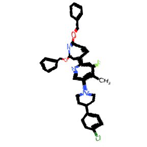 Cc1c(N2CCC(c3ccc(Cl)cc3)CC2)cnc(-c2ccc(OCc3ccccc3)nc2OCc2ccccc2)c1F